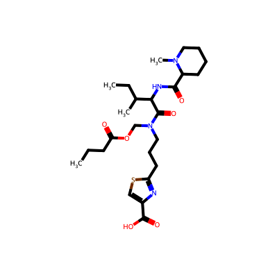 CCCC(=O)OCN(CCCc1nc(C(=O)O)cs1)C(=O)C(NC(=O)C1CCCCN1C)C(C)CC